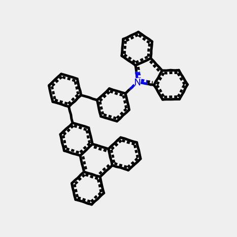 c1cc(-c2ccccc2-c2ccc3c4ccccc4c4ccccc4c3c2)cc(-n2c3ccccc3c3ccccc32)c1